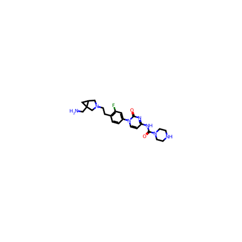 NCC12CC1CN(CCc1ccc(-n3ccc(NC(=O)N4CCNCC4)nc3=O)cc1F)C2